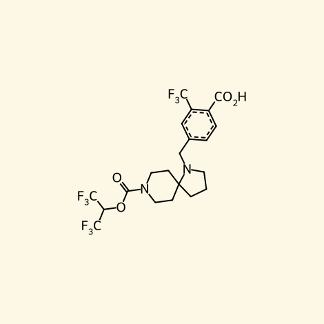 O=C(O)c1ccc(CN2CCCC23CCN(C(=O)OC(C(F)(F)F)C(F)(F)F)CC3)cc1C(F)(F)F